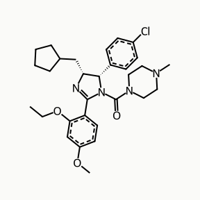 CCOc1cc(OC)ccc1C1=N[C@H](CC2CCCC2)[C@H](c2ccc(Cl)cc2)N1C(=O)N1CCN(C)CC1